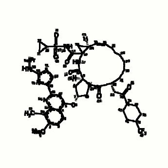 COc1ccc2c(O[C@@H]3C[C@H]4C(=O)NC5(C(=O)NS(=O)(=O)C6CC6)C[C@H]5/C=C\CCCCC[C@H](CC(=O)N5CCC(C(F)(F)F)CC5)C(=O)N4C3)cc(-c3csc(NC(C)C)n3)nc2c1C